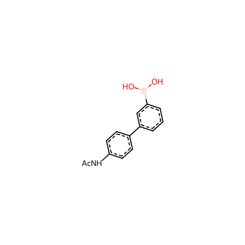 CC(=O)Nc1ccc(-c2cccc(B(O)O)c2)cc1